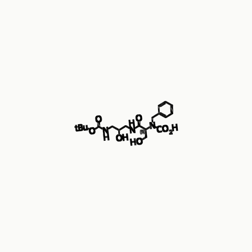 CC(C)(C)OC(=O)NCC(O)CNC(=O)[C@H](CO)N(Cc1ccccc1)C(=O)O